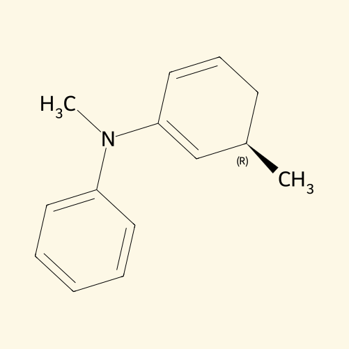 C[C@H]1C=C(N(C)c2ccccc2)C=CC1